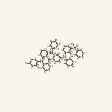 Cc1ccc(N2c3ccccc3B3c4ccc(N(c5ccccc5)c5cccc6c5Oc5ccccc5C6(C)C)cc4N(c4ccccc4)c4cccc2c43)c(C)c1